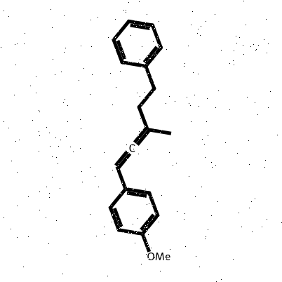 COc1ccc(C=C=C(C)CCc2ccccc2)cc1